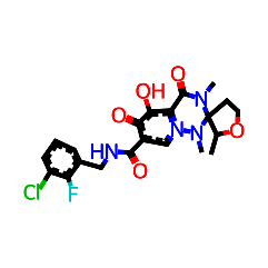 CC1OCCC12N(C)C(=O)c1c(O)c(=O)c(C(=O)NCc3cccc(Cl)c3F)cn1N2C